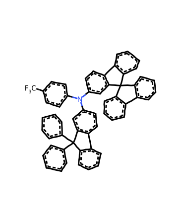 FC(F)(F)c1ccc(N(c2ccc3c(c2)C(c2ccccc2)(c2ccccc2)c2ccccc2-3)c2ccc3c(c2)C2(c4ccccc4-c4ccccc42)c2ccccc2-3)cc1